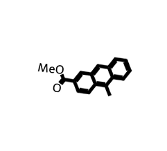 COC(=O)c1ccc2c(C)c3ccccc3cc2c1